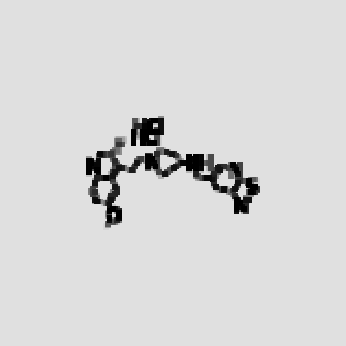 COc1ccc2ncc(F)c(CCN3CCC(NCc4cnc5scnc5c4)CC3)c2c1.Cl.Cl